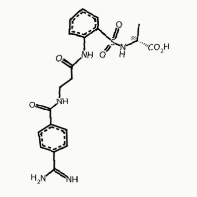 C[C@@H](NS(=O)(=O)c1ccccc1NC(=O)CCNC(=O)c1ccc(C(=N)N)cc1)C(=O)O